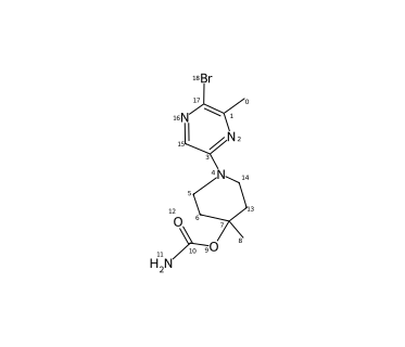 Cc1nc(N2CCC(C)(OC(N)=O)CC2)cnc1Br